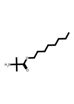 CCCCCCCCOC(=O)C(C)(C)N